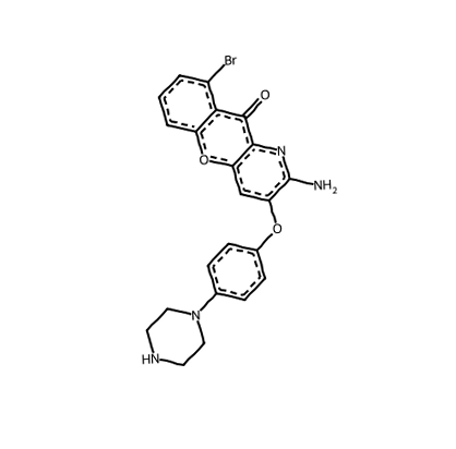 Nc1nc2c(=O)c3c(Br)cccc3oc2cc1Oc1ccc(N2CCNCC2)cc1